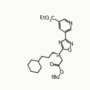 CCOC(=O)c1cncc(-c2noc([C@H](CCCC3CCCCC3)CC(=O)OC(C)(C)C)n2)c1